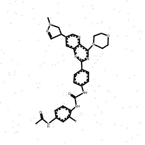 CC(=O)Nc1ccc(NC(=O)Nc2ccc(-c3nc(N4CCOCC4)c4ncc(C5C=NN(C)C5)cc4n3)cc2)c(F)c1